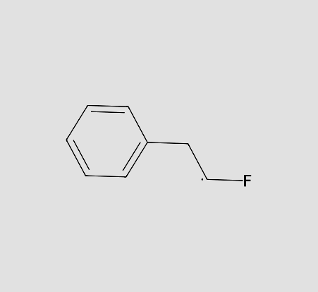 F[CH]Cc1ccccc1